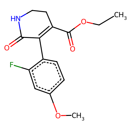 CCOC(=O)C1=C(c2ccc(OC)cc2F)C(=O)NCC1